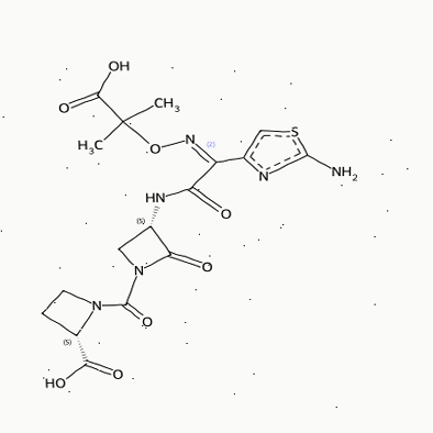 CC(C)(O/N=C(\C(=O)N[C@H]1CN(C(=O)N2CC[C@H]2C(=O)O)C1=O)c1csc(N)n1)C(=O)O